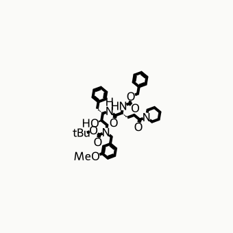 COc1cccc(CN(C[C@@H](O)[C@H](Cc2ccccc2)NC(=O)[C@@H](CCC(=O)N2CCCCC2)NC(=O)OCc2ccccc2)C(=O)OC(C)(C)C)c1